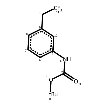 CC(C)(C)OC(=O)Nc1[c]ccc(CC(F)(F)F)c1